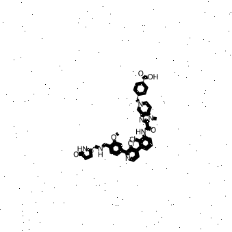 COc1cc(-c2nccc(-c3cccc(NC(=O)c4nc5c(n4C)CCN(C[C@H]4CC[C@@H](C(=O)O)CC4)C5)c3Cl)c2Cl)ccc1CNC[C@@H]1CCC(=O)N1